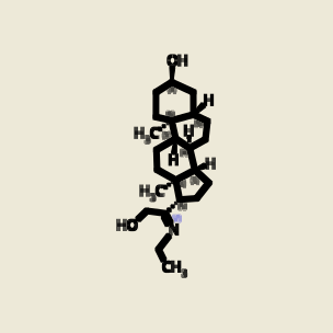 CC/N=C(\CO)[C@H]1CC[C@H]2[C@@H]3CC[C@H]4C[C@H](O)CC[C@]4(C)[C@H]3CC[C@]12C